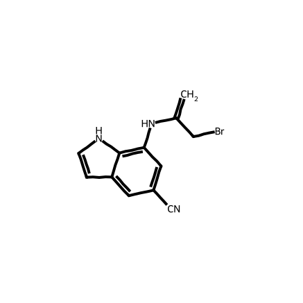 C=C(CBr)Nc1cc(C#N)cc2cc[nH]c12